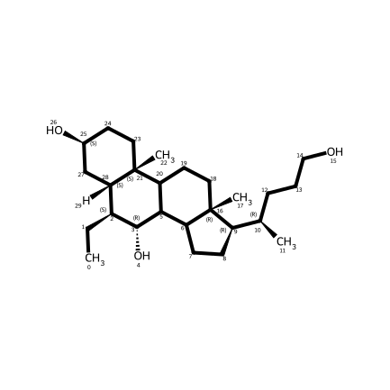 CC[C@@H]1[C@@H](O)C2C3CC[C@H]([C@H](C)CCCO)[C@@]3(C)CCC2[C@@]2(C)CC[C@H](O)C[C@@H]12